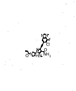 C=CC(=O)N1CCC(n2nc(C#Cc3cc4ncn(C)c4c(F)c3Cl)c(C(N)=O)c2NC)C1